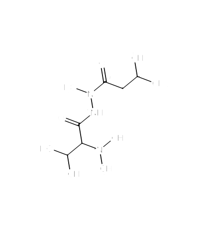 CC(C)CC(=O)N(C)NC(=O)C(C(C)O)N(C)C